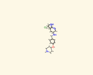 CN1CCC(Oc2ccc(CNc3cnc4[nH]cc(Cl)c4c3)cc2)CC1